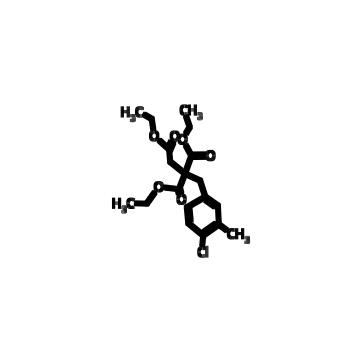 CCOC(=O)CC(Cc1ccc(Cl)c(C)c1)(C(=O)OCC)C(=O)OCC